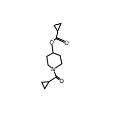 O=C(OC1CCN(C(=O)C2CC2)CC1)C1CC1